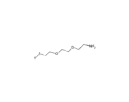 NCCOCCOCCSF